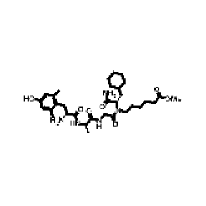 COC(=O)CCCCCN(C(=O)CNC(=O)[C@@H](C)NC(=O)[C@H](N)Cc1c(C)cc(O)cc1C)[C@@H](CC1CCCCC1)C(N)=O